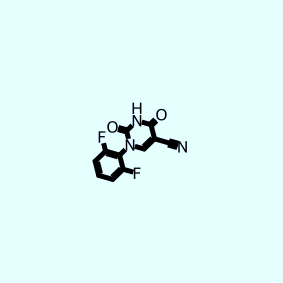 N#Cc1cn(-c2c(F)cccc2F)c(=O)[nH]c1=O